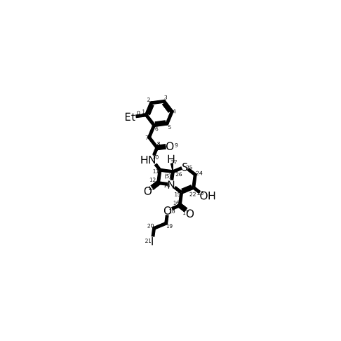 CCc1ccccc1CC(=O)NC1C(=O)N2C(C(=O)OCCI)=C(O)CS[C@@H]12